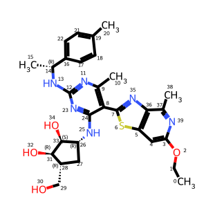 CCOc1cc2sc(-c3c(C)nc(N[C@H](C)c4ccc(C)cc4)nc3N[C@@H]3C[C@H](CO)[C@@H](O)[C@H]3O)nc2c(C)n1